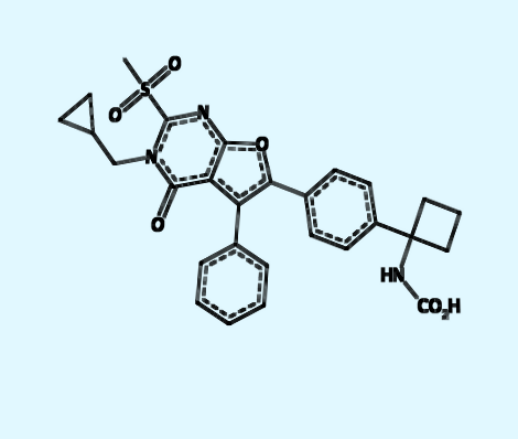 CS(=O)(=O)c1nc2oc(-c3ccc(C4(NC(=O)O)CCC4)cc3)c(-c3ccccc3)c2c(=O)n1CC1CC1